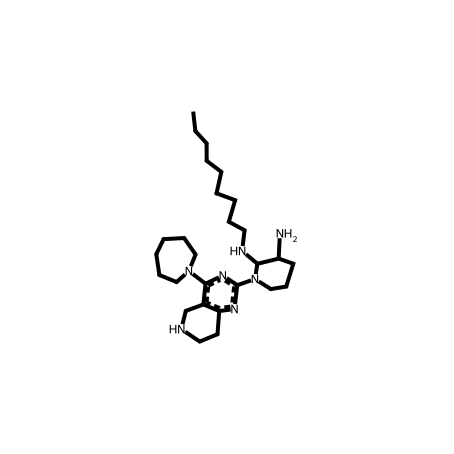 CCCCCCCCCNC1C(N)CCCN1c1nc2c(c(N3CCCCCC3)n1)CNCC2